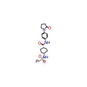 CC(C)S(=O)(=O)N[C@H]1CC[C@H](C(=O)Nc2ccc(N3CCCC3=O)cc2)CC1